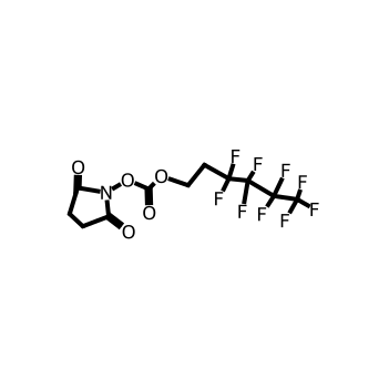 O=C(OCCC(F)(F)C(F)(F)C(F)(F)C(F)(F)F)ON1C(=O)CCC1=O